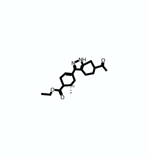 CCOC(=O)C1CC=C(c2n[nH]c3c2CCC(C(C)=O)C3)C[C@@H]1C